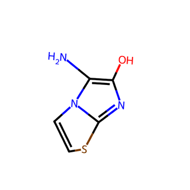 Nc1c(O)nc2sccn12